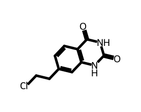 O=c1[nH]c(=O)c2ccc(CCCl)cc2[nH]1